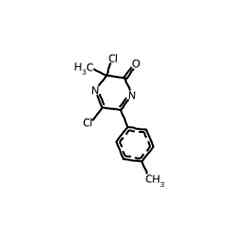 Cc1ccc(C2=NC(=O)C(C)(Cl)N=C2Cl)cc1